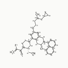 C=C(F)C(=O)N1CCN(c2nc(OCCN(C)CC3CC3)nc3c2CCN(c2cccc4cccc(Cl)c24)C3)C[C@@H]1CC#N